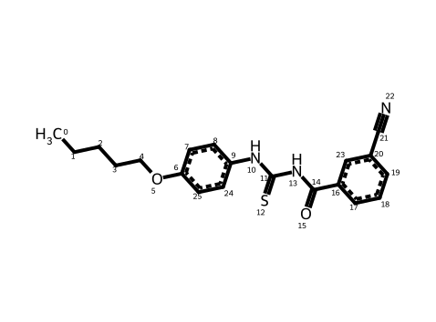 CCCCCOc1ccc(NC(=S)NC(=O)c2cccc(C#N)c2)cc1